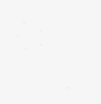 CCCCC(=O)OC[C@H]1O[C@@H](n2cnc3c(N4CCOCC4)ncnc32)[C@](C)(F)[C@]1(C)O